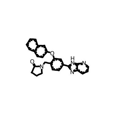 O=C1CCCN1Cc1ccc(-c2nc3cccnc3[nH]2)cc1Oc1ccc2ccccc2c1